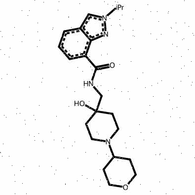 CC(C)n1cc2cccc(C(=O)NCC3(O)CCN(C4CCOCC4)CC3)c2n1